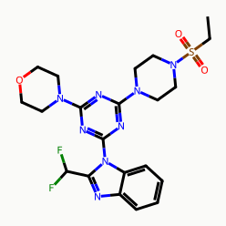 CCS(=O)(=O)N1CCN(c2nc(N3CCOCC3)nc(-n3c(C(F)F)nc4ccccc43)n2)CC1